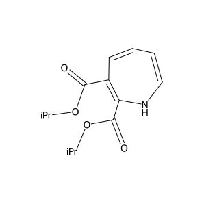 CC(C)OC(=O)C1=C(C(=O)OC(C)C)NC=CC=C1